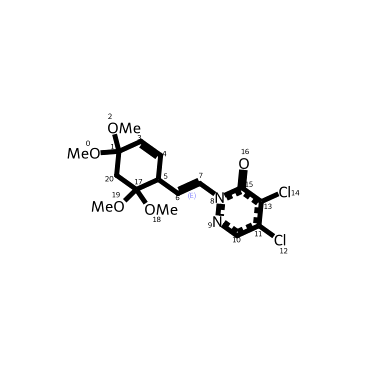 COC1(OC)C=CC(/C=C/n2ncc(Cl)c(Cl)c2=O)C(OC)(OC)C1